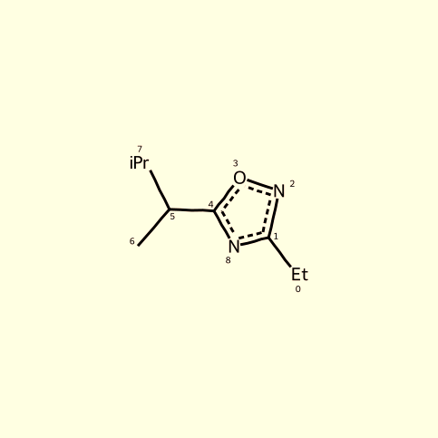 CCc1noc(C(C)C(C)C)n1